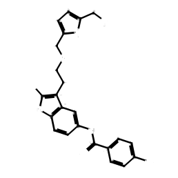 Cc1[nH]c2ccc(NC(=O)c3ccc(F)cc3)cc2c1CCNCc1ccc(CO)o1